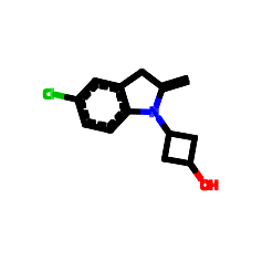 C=C1Cc2cc(Cl)ccc2N1C1CC(O)C1